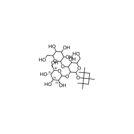 CC1(C)CC2(C)CC(C)(C)C12OC1OC(CO)C(O)C(OC2OC(CO)C(O)C(O)C2O)C1OC1O[C@H](CO)[C@@H](O)[C@H](O)[C@@H]1O